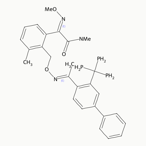 CNC(=O)/C(=N/OC)c1cccc(C)c1CO/N=C(\C)c1ccc(-c2ccccc2)cc1C(P)(P)P